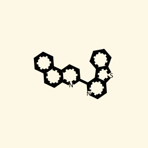 c1ccc2c(c1)ccc1nc(-c3nccc4sc5ccccc5c34)ccc12